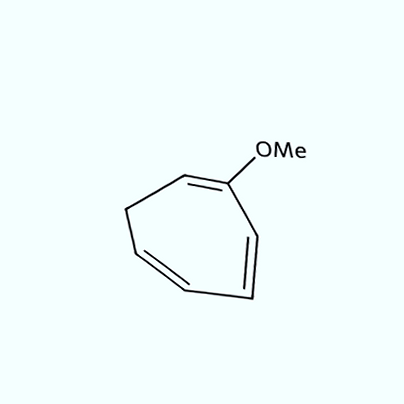 COC1=CCC=CC=C1